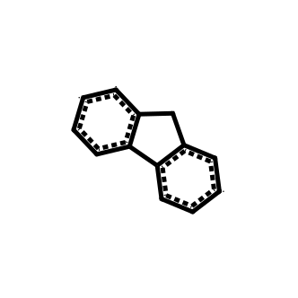 [c]1[c]c2c(cc1)-c1cc[c]cc1C2